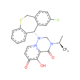 C[C@H](N1CN([C@H]2c3cc(F)ccc3CSc3ccccc32)n2ccc(=O)c(O)c2C1=O)C(F)(F)F